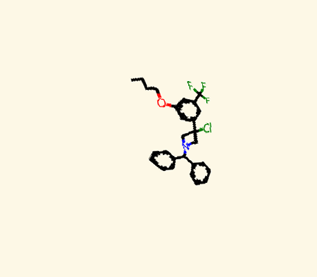 CCCCOc1cc(C(F)(F)F)cc(C2(Cl)CN(C(c3ccccc3)c3ccccc3)C2)c1